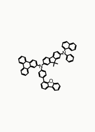 CC1(C)c2cc(N(c3ccc(-c4cccc5c4oc4ccccc45)cc3)c3ccc4c5ccccc5c5ccccc5c4c3)ccc2-c2ccc(N(c3ccccc3)c3cccc4ccccc34)cc21